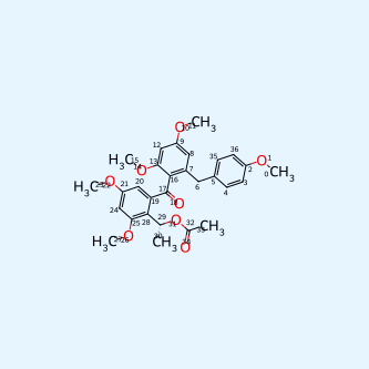 COc1ccc(Cc2cc(OC)cc(OC)c2C(=O)c2cc(OC)cc(OC)c2[C@@H](C)OC(C)=O)cc1